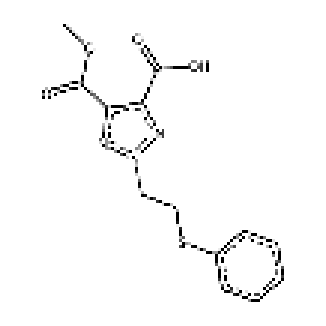 COC(=O)c1nn(CCSc2ccccc2)nc1C(=O)O